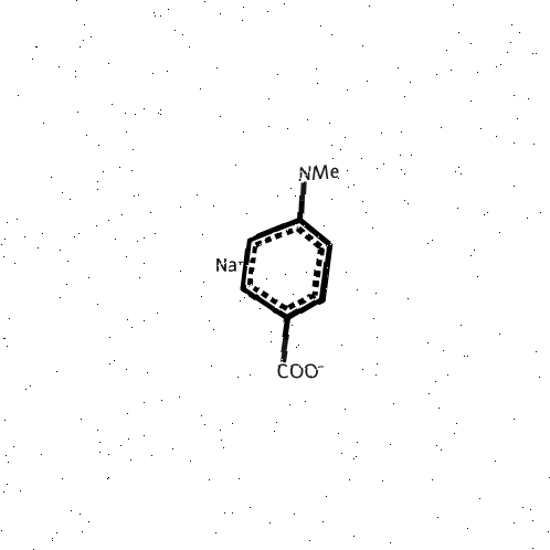 CNc1ccc(C(=O)[O-])cc1.[Na+]